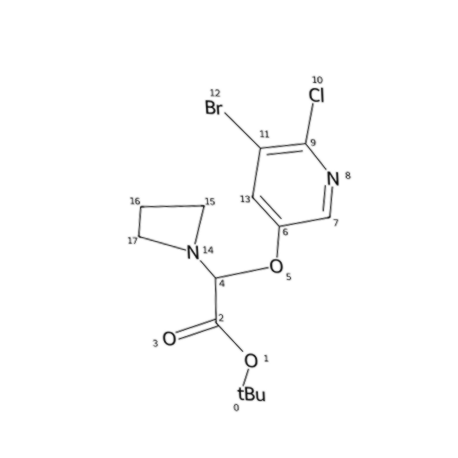 CC(C)(C)OC(=O)C(Oc1cnc(Cl)c(Br)c1)N1CCC1